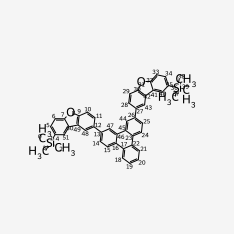 C[Si](C)(C)c1ccc2oc3ccc(-c4ccc5c6ccccc6c6ccc(-c7ccc8oc9ccc([Si](C)(C)C)cc9c8c7)cc6c5c4)cc3c2c1